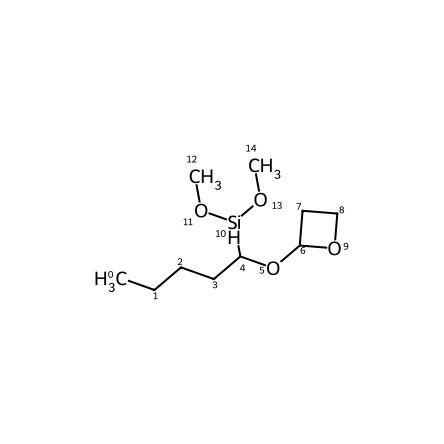 CCCCC(OC1CCO1)[SiH](OC)OC